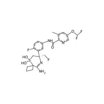 Cc1cc(OC(F)F)cnc1C(=O)Nc1ccc(F)c([C@]2(CF)CS(O)(O)C3(CCC3)C(N)=N2)c1